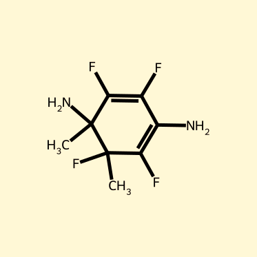 CC1(N)C(F)=C(F)C(N)=C(F)C1(C)F